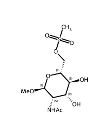 CO[C@H]1O[C@H](COS(C)(=O)=O)[C@@H](O)[C@H](O)[C@@H]1NC(C)=O